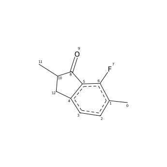 Cc1ccc2c(c1F)C(=O)C(C)C2